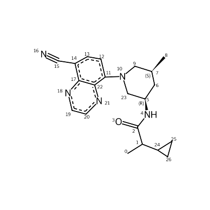 CC(C(=O)N[C@@H]1C[C@H](C)CN(c2ccc(C#N)c3nccnc23)C1)C1CC1